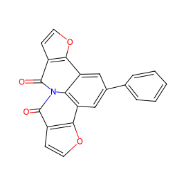 O=c1c2ccoc2c2cc(-c3ccccc3)cc3c4occc4c(=O)n1c23